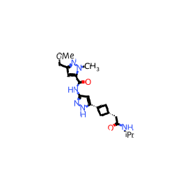 COCc1cc(C(=O)Nc2cc([C@H]3C[C@@H](CC(=O)NC(C)C)C3)[nH]n2)n(C)n1